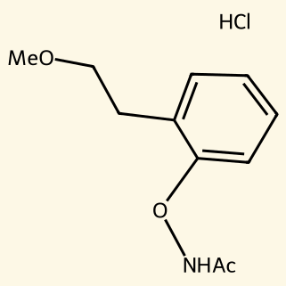 COCCc1ccccc1ONC(C)=O.Cl